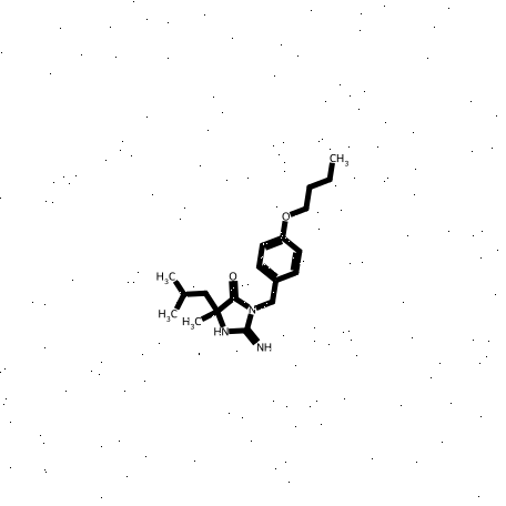 CCCCOc1ccc(CN2C(=N)NC(C)(CC(C)C)C2=O)cc1